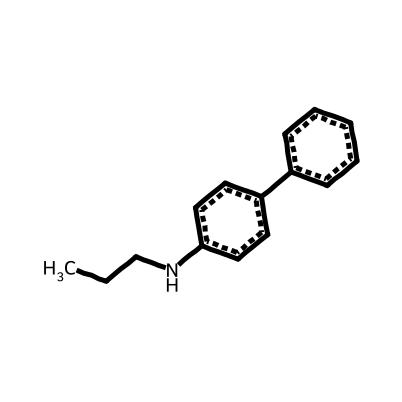 CCCNc1ccc(-c2ccccc2)cc1